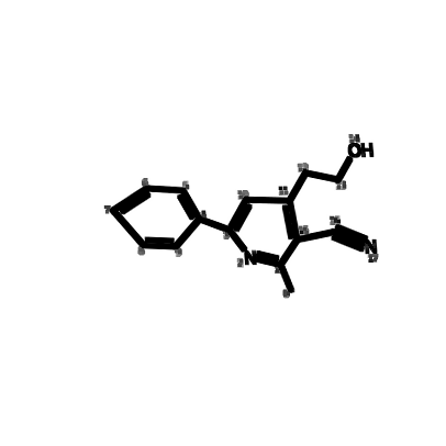 Cc1nc(-c2ccccc2)cc(CCO)c1C#N